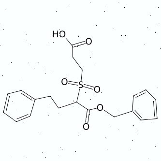 O=C(O)CCS(=O)(=O)C(CCc1ccccc1)C(=O)OCc1ccccc1